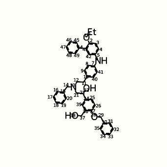 CCOc1ccc(Nc2ccc(CCN(Cc3ccccc3)C[C@H](O)c3ccc(OCc4ccccc4)c(CO)c3)cc2)cc1-c1ccccc1